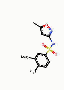 COc1cc(S(=O)(=O)Nc2cc(C)on2)ccc1[N+](=O)[O-]